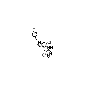 Cc1c(Nc2cc3ccn(CCC4CCNCC4)c3cc2Cl)cnn(C)c1=O